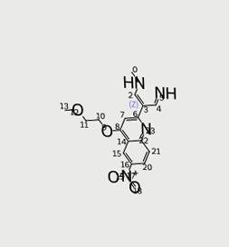 CN/C=C(\C=N)c1cc(OCCOC)c2cc([N+](=O)[O-])ccc2n1